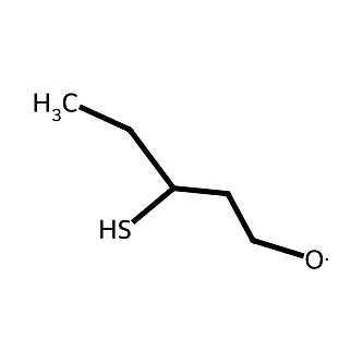 CCC(S)CC[O]